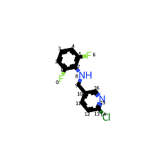 Fc1cccc(F)c1NCc1ccc(Cl)nc1